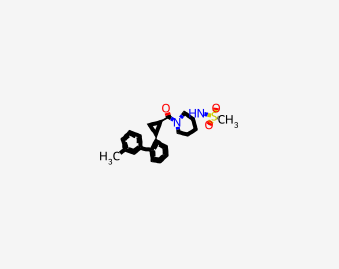 Cc1cccc(-c2ccccc2[C@@H]2C[C@H]2C(=O)N2CCC[C@@H](NS(C)(=O)=O)C2)c1